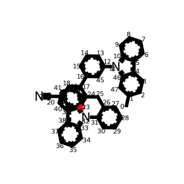 Cc1ccc2c3ccccc3n(-c3cccc(-c4cc(C#N)ccc4Cc4ccccc4-n4c5ccccc5c5ccccc54)c3)c2c1